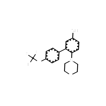 Nc1ccc(N2CCSCC2)c(-c2ccc(OC(F)(F)F)cc2)c1